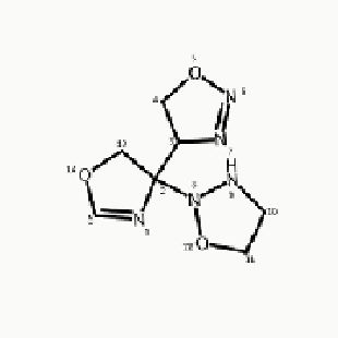 [C]1=NC(C2CON=N2)(N2NCCO2)CO1